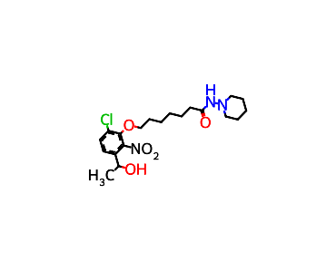 CC(O)c1ccc(Cl)c(OCCCCCCC(=O)NN2CCCCC2)c1[N+](=O)[O-]